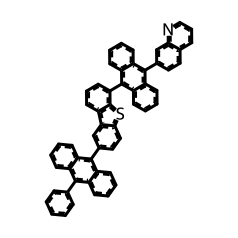 c1ccc(-c2c3ccccc3c(-c3ccc4sc5c(-c6c7ccccc7c(-c7ccc8cccnc8c7)c7ccccc67)cccc5c4c3)c3ccccc23)cc1